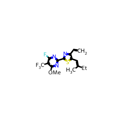 C=Cc1nc(-c2nc(F)c(C(F)(F)F)c(OC)n2)sc1/C=C(\C)CC